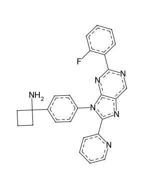 NC1(c2ccc(-n3c(-c4ccccn4)nc4cnc(-c5ccccc5F)nc43)cc2)CCC1